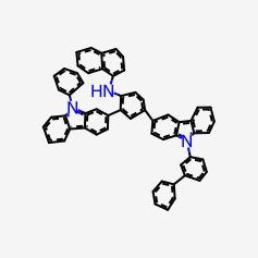 c1ccc(-c2cccc(-n3c4ccccc4c4cc(-c5ccc(Nc6cccc7ccccc67)c(-c6ccc7c8ccccc8n(-c8ccccc8)c7c6)c5)ccc43)c2)cc1